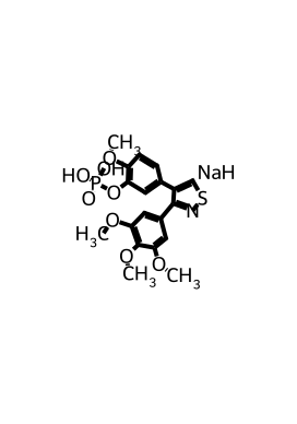 COc1ccc(-c2csnc2-c2cc(OC)c(OC)c(OC)c2)cc1OP(=O)(O)O.[NaH]